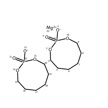 O=P1([O-])OCCCCCCO1.O=P1([O-])OCCCCCCO1.[Mg+2]